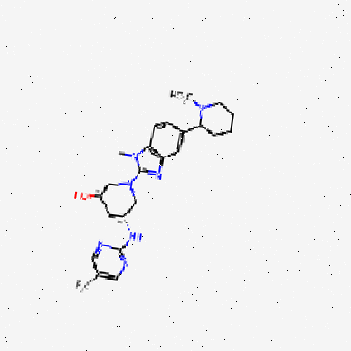 Cn1c(N2C[C@H](O)C[C@@H](Nc3ncc(C(F)(F)F)cn3)C2)nc2cc(C3CCCCN3C(=O)O)ccc21